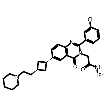 CC(C)NC(=O)Cn1c(-c2cccc(Cl)c2)nc2ccc([C@H]3C[C@H](CCN4CCCCC4)C3)cc2c1=O